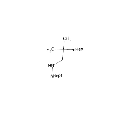 CCCCCCCNCC(C)(C)CCCCCC